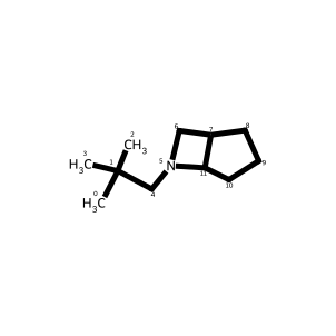 CC(C)(C)CN1CC2CCCC21